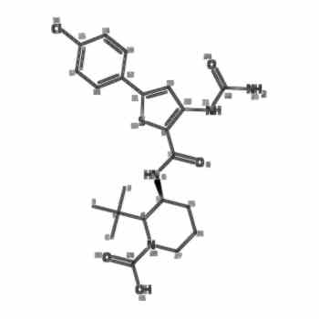 CC(C)(C)C1[C@@H](NC(=O)c2sc(-c3ccc(Cl)cc3)cc2NC(N)=O)CCCN1C(=O)O